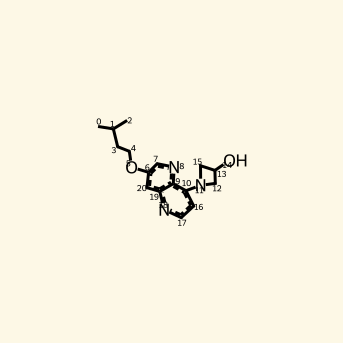 CC(C)CCOc1cnc2c(N3CC(O)C3)ccnc2c1